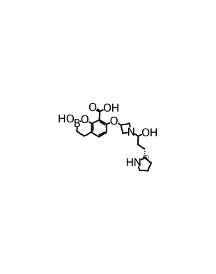 O=C(O)c1c(OC2CN(C(O)CC[C@@H]3CCCN3)C2)ccc2c1OB(O)CC2